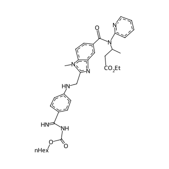 CCCCCCOC(=O)NC(=N)c1ccc(NCc2nc3cc(C(=O)N(c4ccccn4)C(C)CC(=O)OCC)ccc3n2C)cc1